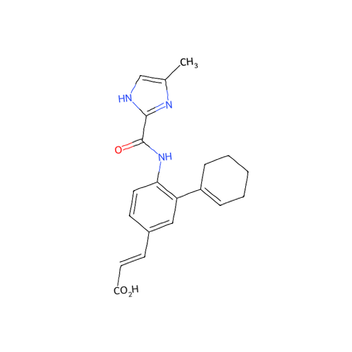 Cc1c[nH]c(C(=O)Nc2ccc(/C=C/C(=O)O)cc2C2=CCCCC2)n1